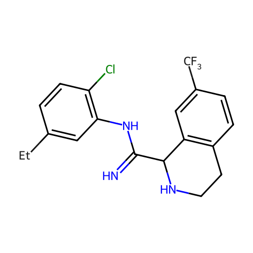 CCc1ccc(Cl)c(NC(=N)C2NCCc3ccc(C(F)(F)F)cc32)c1